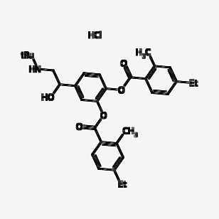 CCc1ccc(C(=O)Oc2ccc(C(O)CNC(C)(C)C)cc2OC(=O)c2ccc(CC)cc2C)c(C)c1.Cl